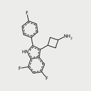 NC1CC(c2c(-c3ccc(F)cc3)[nH]c3c(F)cc(F)cc23)C1